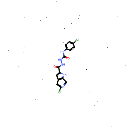 O=C(NNC(=O)c1cc2cc(Cl)ncc2[nH]1)Nc1ccc(Cl)cc1